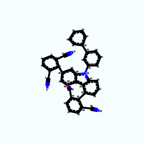 N#Cc1cccc(C#N)c1-c1ccc2c3c(-c4c(C#N)cccc4C#N)cccc3n(-c3cccc(-c4ccccc4)c3)c2c1